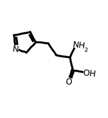 NC(CCC1=CC=NC1)C(=O)O